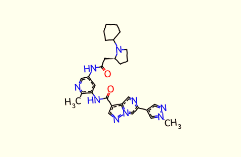 Cc1ncc(NC(=O)C[C@@H]2CCCN2C2CCCCC2)cc1NC(=O)c1cnn2cc(-c3cnn(C)c3)ncc12